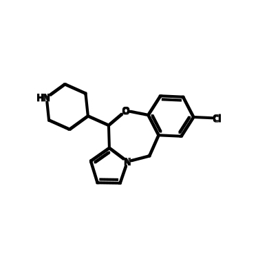 Clc1ccc2c(c1)Cn1cccc1C(C1CCNCC1)O2